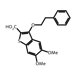 COc1cc2sc(C(=O)O)c(OCCc3ccccc3)c2cc1OC